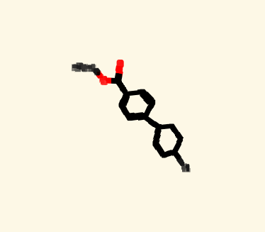 CCCCCOC(=O)c1ccc(C2CCC(CC)CC2)cc1